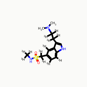 [2H]c1c(C([2H])([2H])S(=O)(=O)NC([2H])([2H])[2H])c([2H])c2c(C([2H])([2H])C([2H])([2H])N(C)C)c[nH]c2c1[2H]